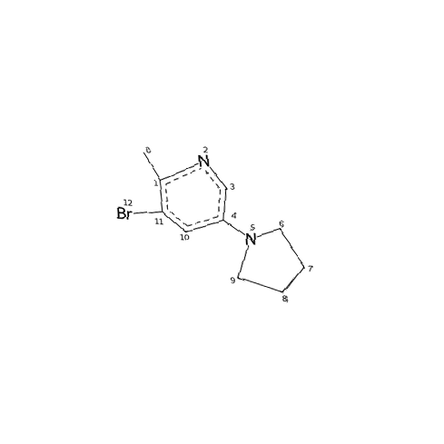 Cc1ncc(N2CCCC2)cc1Br